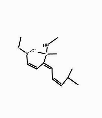 CNS(C)(C)C(/C=C\[S+]([O-])SC)=C/C=C\C(C)C